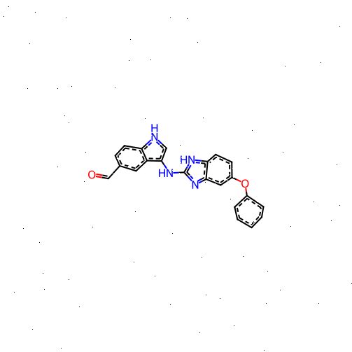 O=Cc1ccc2[nH]cc(Nc3nc4cc(Oc5ccccc5)ccc4[nH]3)c2c1